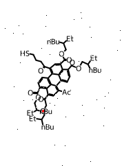 CCCCC(CC)COCC(=O)c1cc(C(C)=O)c2c3ccc(C(=O)OCC(CC)CCCC)c4c(C(=O)OCC(CC)CCCC)cc(C(=O)CCCS)c(c5ccc(C(=O)OCC(CC)CCCC)c1c52)c43